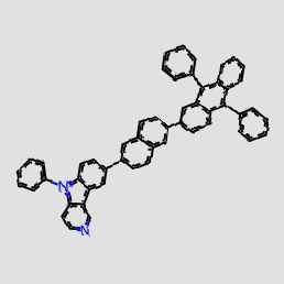 c1ccc(-c2c3ccccc3c(-c3ccccc3)c3cc(-c4ccc5cc(-c6ccc7c(c6)c6cnccc6n7-c6ccccc6)ccc5c4)ccc23)cc1